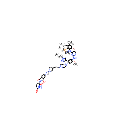 COc1cc(N2CCN(CCC3CCN(C4CN(c5ccc6c(c5)C(=O)N(C5CCC(=O)NC5=O)C6=O)C4)CC3)CC2)c(-c2cnn(C)c2)cc1Nc1ncc(Br)c(Nc2ccc(C)c(C)c2P(C)C)n1